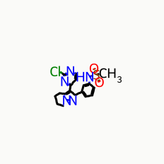 CS(=O)(=O)Nc1cccc(-c2nn3c(c2-c2ccnc(Cl)n2)CCCC3)c1